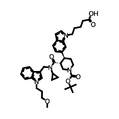 COCCCn1cc(CN(C(=O)[C@H]2CN(C(=O)OC(C)(C)C)CC[C@@H]2c2ccc3ccn(CCCCC(=O)O)c3c2)C2CC2)c2ccccc21